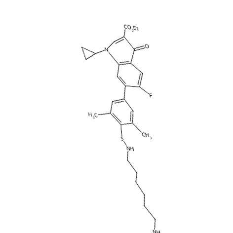 CCOC(=O)c1cn(C2CC2)c2cc(-c3cc(C)c(SNCCCCCCN)c(C)c3)c(F)cc2c1=O